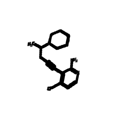 CC(CC#Cc1c(Cl)ccnc1N)N1CCCCC1